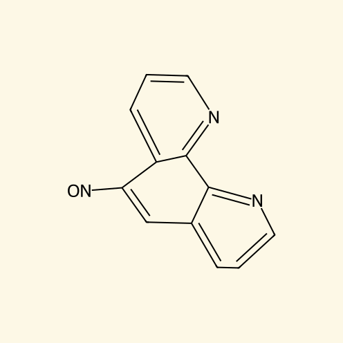 O=Nc1cc2cccnc2c2ncccc12